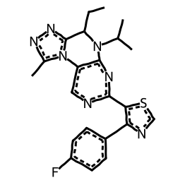 CCC1c2nnc(C)n2-c2cnc(-c3scnc3-c3ccc(F)cc3)nc2N1C(C)C